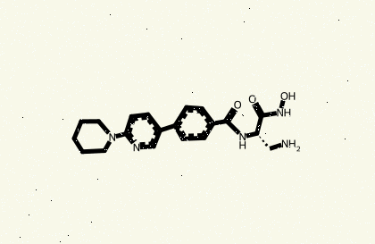 NC[C@H](NC(=O)c1ccc(-c2ccc(N3CCCCC3)nc2)cc1)C(=O)NO